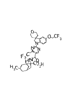 CC1CC2CC(C1)C(NC(=O)c1cnc(N3CC4(CCOCC4)c4cc(OCC(F)(F)F)ccc43)nc1C(F)(F)F)(C(=O)O)C2